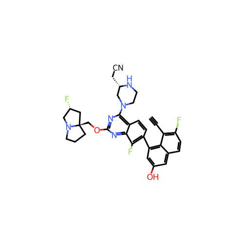 C#Cc1c(F)ccc2cc(O)cc(-c3ccc4c(N5CCN[C@@H](CC#N)C5)nc(OC[C@@]56CCCN5C[C@H](F)C6)nc4c3F)c12